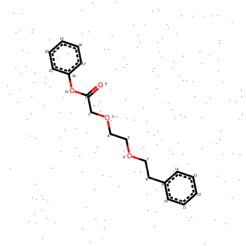 O=C(COCCOCCc1ccccc1)Oc1ccccc1